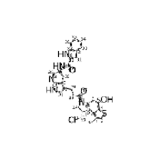 Cc1csc2c(O)cc3c(c12)[C@H](CCl)CN3C(=O)/C=C/c1c[nH]c2ncc(NC(=O)c3cc4ccccc4[nH]3)cc12